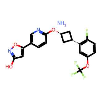 N.Oc1cc(-c2ccc(O[C@H]3C[C@@H](c4cc(OC(F)(F)F)ccc4F)C3)nc2)on1